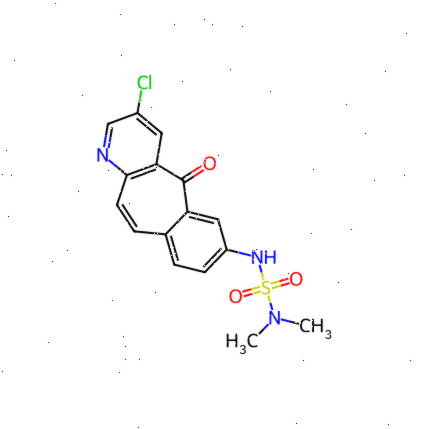 CN(C)S(=O)(=O)Nc1ccc2ccc3ncc(Cl)cc3c(=O)c2c1